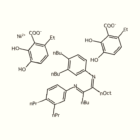 CCCCCCCCC(=Nc1ccc(CCCC)c(CCCC)c1)C(CCCC)=Nc1ccc(CCC)c(CCC)c1.CCc1ccc(O)c(O)c1C(=O)[O-].CCc1ccc(O)c(O)c1C(=O)[O-].[Ni+2]